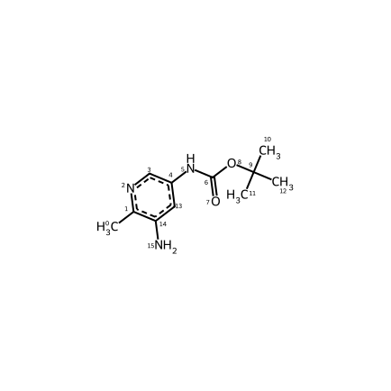 Cc1ncc(NC(=O)OC(C)(C)C)cc1N